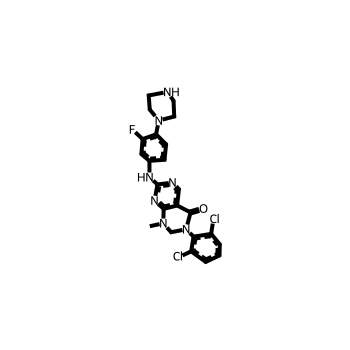 CN1CN(c2c(Cl)cccc2Cl)C(=O)c2cnc(Nc3ccc(N4CCNCC4)c(F)c3)nc21